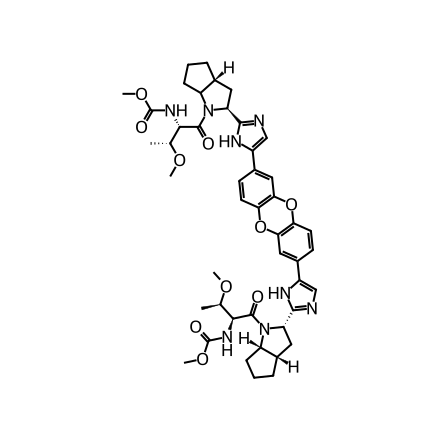 COC(=O)N[C@H](C(=O)N1C2CCC[C@@H]2C[C@H]1c1ncc(-c2ccc3c(c2)Oc2ccc(-c4cnc([C@@H]5C[C@@H]6CCC[C@@H]6N5C(=O)[C@@H](NC(=O)OC)[C@@H](C)OC)[nH]4)cc2O3)[nH]1)[C@@H](C)OC